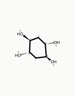 O[C@H]1C[C@H](O)[C@@H](O)C[C@@H]1O